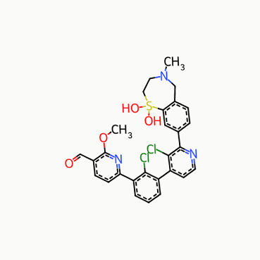 COc1nc(-c2cccc(-c3ccnc(-c4ccc5c(c4)S(O)(O)CCN(C)C5)c3Cl)c2Cl)ccc1C=O